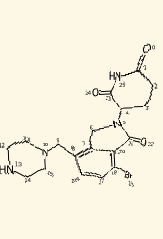 O=C1CCC(N2Cc3c(CN4CCNCC4)ccc(Br)c3C2=O)C(=O)N1